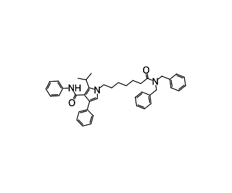 CC(C)c1c(C(=O)Nc2ccccc2)c(-c2ccccc2)cn1CCCCCCC(=O)N(Cc1ccccc1)Cc1ccccc1